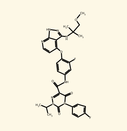 COCC(C)(C)Nc1n[nH]c2nccc(Oc3ccc(NC(=O)c4nn(C(C)C)c(=O)n(-c5ccc(F)cc5)c4=O)cc3F)c12